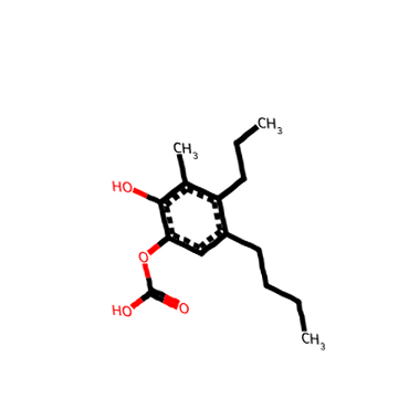 CCCCc1cc(OC(=O)O)c(O)c(C)c1CCC